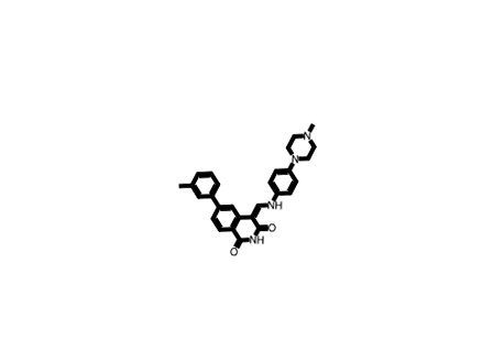 Cc1cccc(-c2ccc3c(c2)C(=CNc2ccc(N4CCN(C)CC4)cc2)C(=O)NC3=O)c1